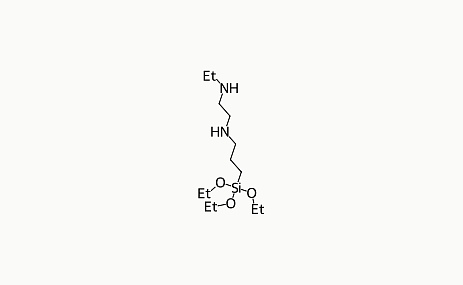 CCNCCNCCC[Si](OCC)(OCC)OCC